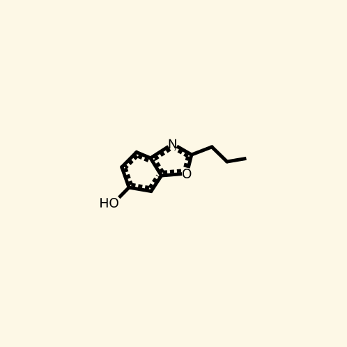 CCCc1nc2ccc(O)cc2o1